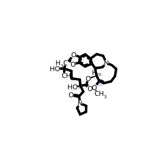 CO/C1=C/CCCCN2CCc3cc4c(cc3[C@@H](C2)[C@@H]1OC(=O)[C@@](O)(CCCC(C)(C)O)CC(=O)N1CCCC1)OCO4